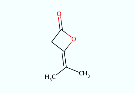 CC(C)=C1CC(=O)O1